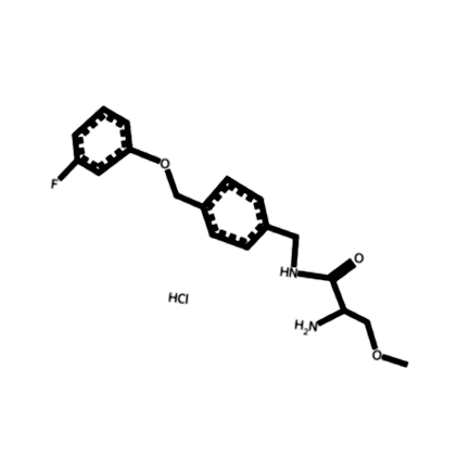 COCC(N)C(=O)NCc1ccc(COc2cccc(F)c2)cc1.Cl